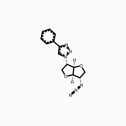 [N-]=[N+]=N[C@H]1CO[C@H]2[C@@H]1OC[C@@H]2n1cc(-c2ccccc2)nn1